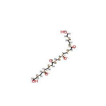 O=C(CSCC[S+]([O-])CSCSC(=O)CSCC[S+]([O-])CCSCCO)SCCSCCO